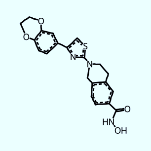 O=C(NO)c1ccc2c(c1)CCN(c1nc(-c3ccc4c(c3)OCCO4)cs1)C2